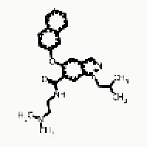 CC(C)Cn1ncc2cc(Oc3ccc4ccccc4c3)c(C(=O)NCCN(C)C)cc21